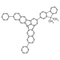 CC1(C)c2ccccc2-c2ccc(-c3cc4c5cc6ccc(-c7ccccc7)cc6cc5n5c6cc7cc(-c8ccccc8)ccc7cc6c(c3)c45)cc21